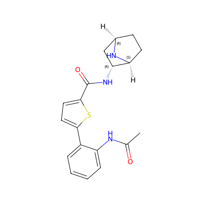 CC(=O)Nc1ccccc1-c1ccc(C(=O)N[C@@H]2C[C@H]3CC[C@@H]2N3)s1